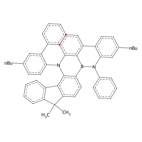 CCCCc1ccc(N2c3cccc4c3B(c3ccc5c(c32)-c2ccccc2C5(C)C)N(c2ccccc2)c2cc(CCCC)ccc2-4)c(-c2ccccc2)c1